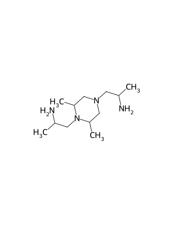 CC(N)CN1CC(C)N(CC(C)N)C(C)C1